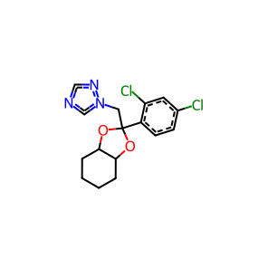 Clc1ccc(C2(Cn3cncn3)OC3CCCCC3O2)c(Cl)c1